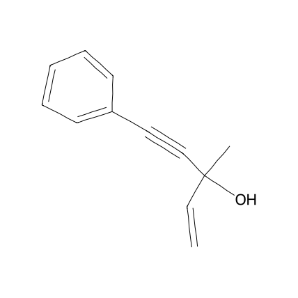 C=CC(C)(O)C#Cc1ccccc1